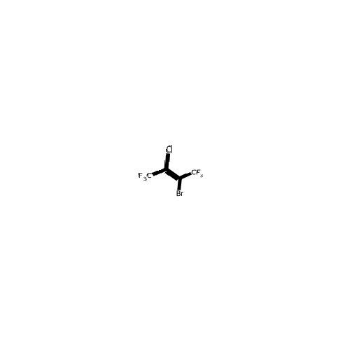 FC(F)(F)C(Cl)=C(Br)C(F)(F)F